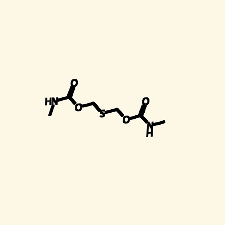 CNC(=O)OCSCOC(=O)NC